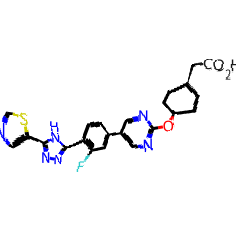 O=C(O)C[C@H]1CC[C@@H](Oc2ncc(-c3ccc(-c4nnc(-c5cncs5)[nH]4)c(F)c3)cn2)CC1